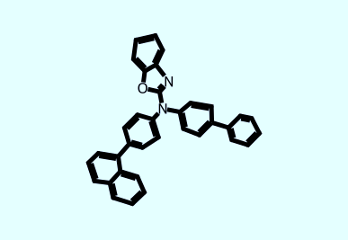 c1ccc(-c2ccc(N(c3ccc(-c4cccc5ccccc45)cc3)c3nc4ccccc4o3)cc2)cc1